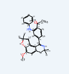 CCOc1cc2c(c3c1OC(C)(C)C3)C(c1ccc(C(=O)OC)c(Nc3ccccc3)c1)=NC(C)(C)C2